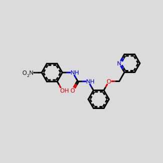 O=C(Nc1ccc([N+](=O)[O-])cc1O)Nc1ccccc1OCc1ccccn1